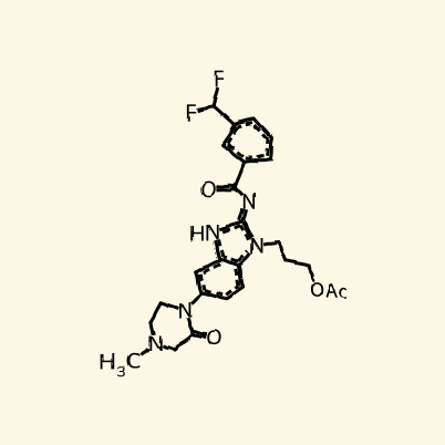 CC(=O)OCCCn1/c(=N/C(=O)c2cccc(C(F)F)c2)[nH]c2cc(N3CCN(C)CC3=O)ccc21